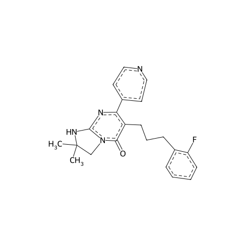 CC1(C)Cn2c(nc(-c3ccncc3)c(CCCc3ccccc3F)c2=O)N1